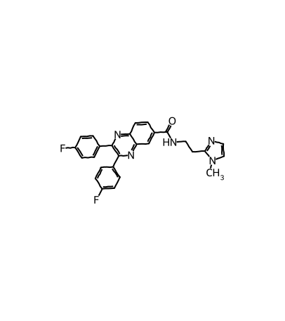 Cn1ccnc1CCNC(=O)c1ccc2nc(-c3ccc(F)cc3)c(-c3ccc(F)cc3)nc2c1